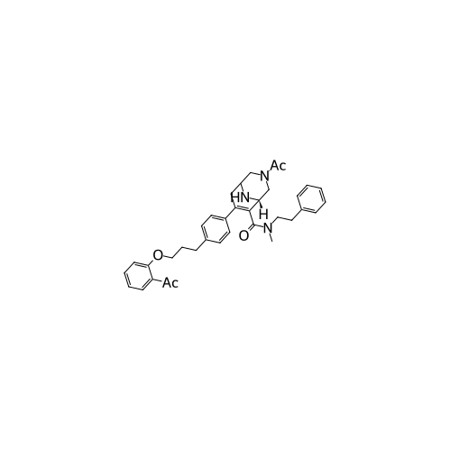 CC(=O)c1ccccc1OCCCc1ccc(C2=C(C(=O)N(C)CCc3ccccc3)[C@H]3CN(C(C)=O)CC(C2)N3)cc1